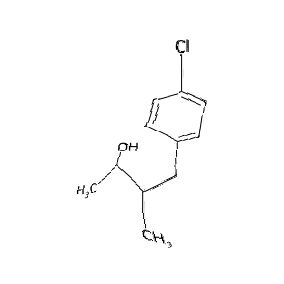 CC(O)C(C)Cc1ccc(Cl)cc1